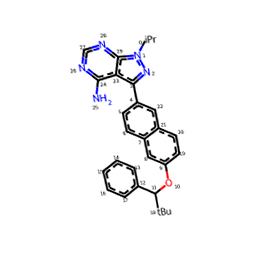 CC(C)n1nc(-c2ccc3cc(OC(c4ccccc4)C(C)(C)C)ccc3c2)c2c(N)ncnc21